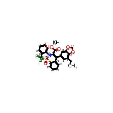 CCc1cc(C2=C(C(=O)O)N(c3ccccc3C(F)(F)F)S(=O)(=O)c3ccccc32)cc2c1OCO2.[KH]